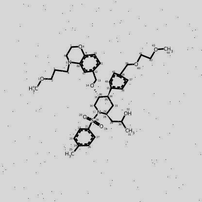 COCCCN1CCOc2ccc(CO[C@H]3CN(S(=O)(=O)c4ccc(C)cc4)[C@H](CC(C)O)C[C@@H]3c3ccc(COCCOC)cc3)cc21